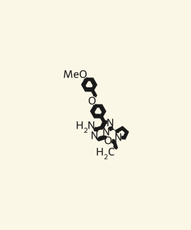 C=CC(=O)N1CCC[C@H]1c1nc(-c2ccc(OCc3ccc(OC)cc3)cc2)c2c(N)nccn12